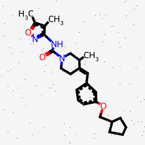 Cc1onc(NC(=O)N2CCC(=Cc3cccc(OCC4CCCC4)c3)C(C)C2)c1C